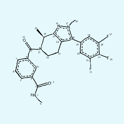 CNC(=O)c1cccc(C(=O)N2CCc3c(nn(C)c3-c3cc(F)c(F)c(F)c3)[C@@H]2C)c1